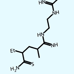 CCC(C)C(=N)NCCNC(=N)C(C)CC(CC)C(N)=S